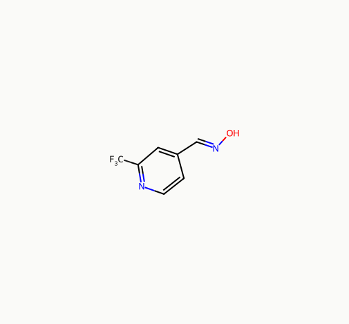 ON=Cc1ccnc(C(F)(F)F)c1